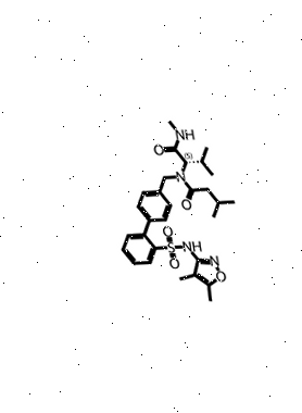 CNC(=O)[C@H](C(C)C)N(Cc1ccc(-c2ccccc2S(=O)(=O)Nc2noc(C)c2C)cc1)C(=O)CC(C)C